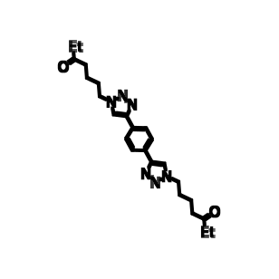 CCC(=O)CCCCn1cc(-c2ccc(-c3cn(CCCCC(=O)CC)nn3)cc2)nn1